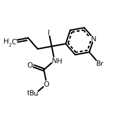 C=CCC(I)(NC(=O)OC(C)(C)C)c1ccnc(Br)c1